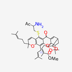 COC(=O)/C(C)=C\CC12OC(C)(C)C3CC(C=C4C(=O)c5c(c(CC=C(C)C)c6c(c5SCC(N)C(C)=O)C=CC(C)(CCC=C(C)C)O6)OC431)C2=O